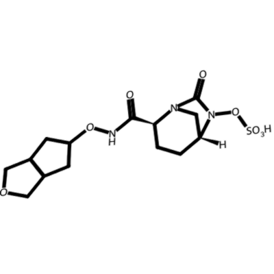 O=C(NOC1CC2COCC2C1)[C@@H]1CC[C@@H]2CN1C(=O)N2OS(=O)(=O)O